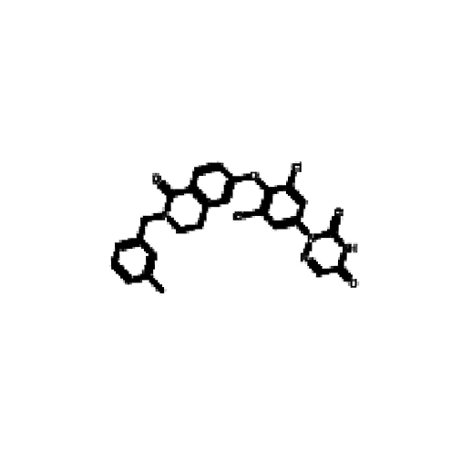 Cc1cccc(CN2CCc3cc(Oc4c(Cl)cc(-n5ncc(=O)[nH]c5=O)cc4Cl)ccc3C2=O)c1